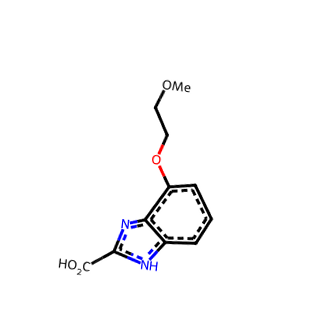 COCCOc1cccc2[nH]c(C(=O)O)nc12